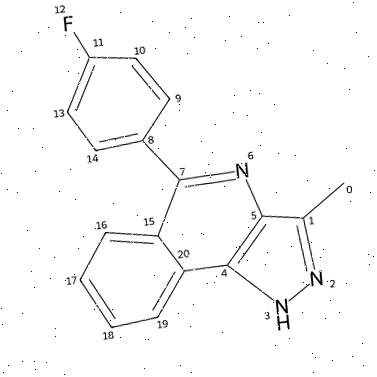 Cc1n[nH]c2c1nc(-c1ccc(F)cc1)c1ccccc12